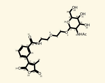 CC(=O)NC1C(OCCOCCNC(=O)c2cccc(C3=C(C)C(=O)OC3=O)c2)OC(CO)C(O)C1O